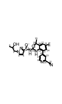 CC(O)Cn1ccc([S+]([O-])NC(=O)Nc2c(-c3ccnc(C#N)c3)cc(F)cc2C(C)C)n1